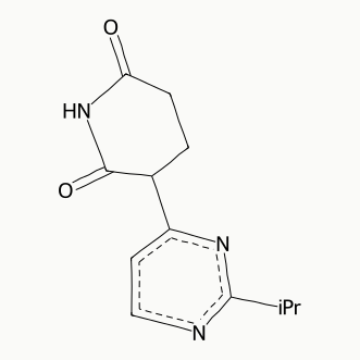 CC(C)c1nccc(C2CCC(=O)NC2=O)n1